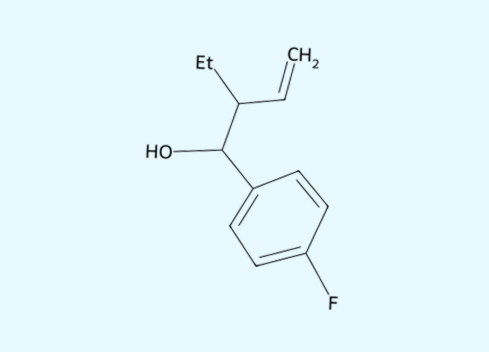 C=CC(CC)C(O)c1ccc(F)cc1